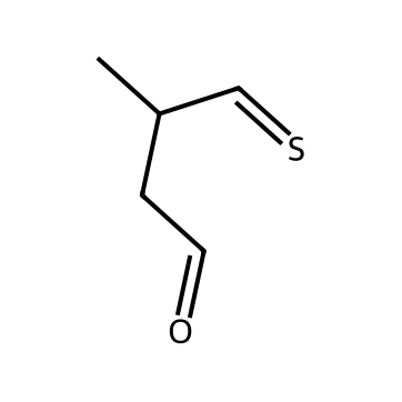 CC(C=S)CC=O